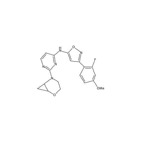 COc1ccc(-c2cc(Nc3ccnc(N4CCOC5CC54)n3)on2)c(F)c1